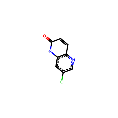 O=C1C=Cc2ncc(Cl)cc2[N]1